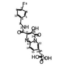 O=C(NCc1ccc(F)cc1)c1nc2ccc(CP(=O)(O)O)cn2c(=O)c1O